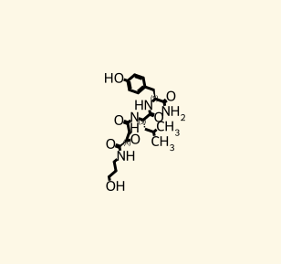 CC(C)C[C@H](NC(=O)C1O[C@H]1C(=O)NCCCO)C(=O)N[C@@H](Cc1ccc(O)cc1)C(N)=O